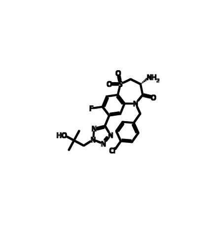 CC(C)(O)Cn1nnc(-c2cc3c(cc2F)S(=O)(=O)C[C@H](N)C(=O)N3Cc2ccc(Cl)cc2)n1